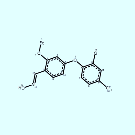 CCOc1cc(Oc2ccc(C(F)(F)F)cc2Cl)ccc1/C=N/O